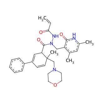 C=CC(=O)NN(Cc1c(C)cc(C)[nH]c1=O)C(=O)C1C=C(c2ccccc2)C=CC1(C)CN1CCOCC1